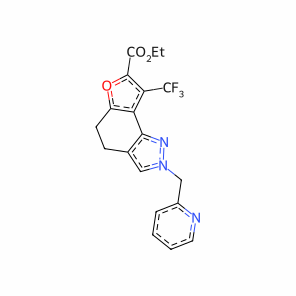 CCOC(=O)c1oc2c(c1C(F)(F)F)-c1nn(Cc3ccccn3)cc1CC2